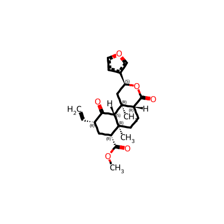 C=C[C@H]1C[C@@H](C(=O)OC)[C@]2(C)CC[C@H]3C(=O)O[C@H](c4ccoc4)C[C@]3(C)[C@H]2C1=O